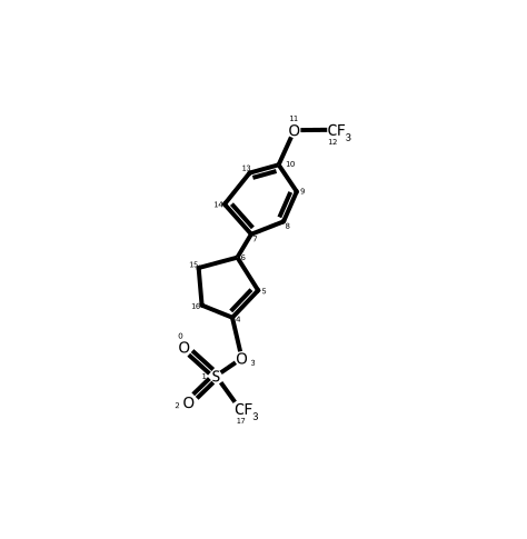 O=S(=O)(OC1=CC(c2ccc(OC(F)(F)F)cc2)CC1)C(F)(F)F